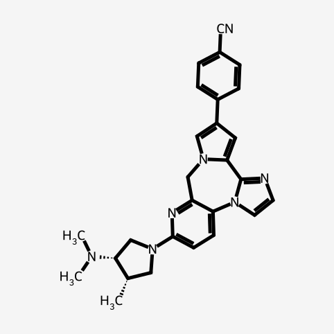 C[C@H]1CN(c2ccc3c(n2)Cn2cc(-c4ccc(C#N)cc4)cc2-c2nccn2-3)C[C@H]1N(C)C